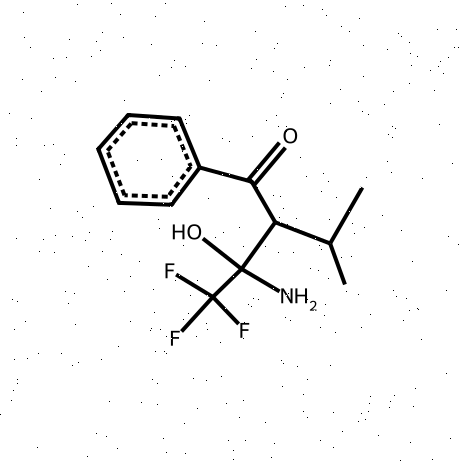 CC(C)C(C(=O)c1ccccc1)C(N)(O)C(F)(F)F